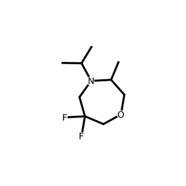 CC(C)N1CC(F)(F)COCC1C